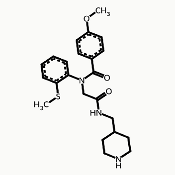 COc1ccc(C(=O)N(CC(=O)NCC2CCNCC2)c2ccccc2SC)cc1